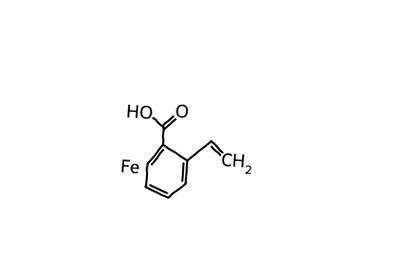 C=Cc1ccccc1C(=O)O.[Fe]